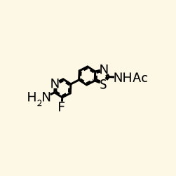 CC(=O)Nc1nc2ccc(-c3cnc(N)c(F)c3)cc2s1